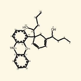 CCCC(O)C1=CC=CC(c2cccc3c2Oc2ccccc2N3)(C(O)CCC)C1